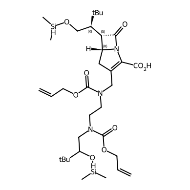 C=CCOC(=O)N(CCN(CC(O[SiH](C)C)C(C)(C)C)C(=O)OCC=C)CC1=C(C(=O)O)N2C(=O)[C@@H]([C@@H](CO[SiH](C)C)C(C)(C)C)[C@H]2C1